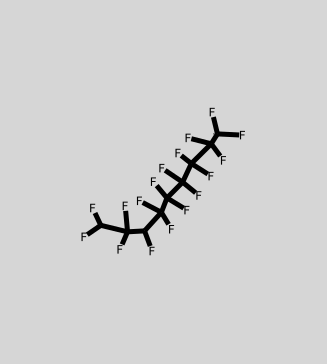 F[C](F)C(F)(F)C(F)C(F)(F)C(F)(F)C(F)(F)C(F)(F)C(F)(F)[C](F)F